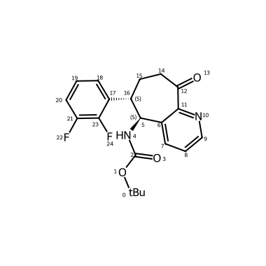 CC(C)(C)OC(=O)N[C@@H]1c2cccnc2C(=O)CC[C@H]1c1cccc(F)c1F